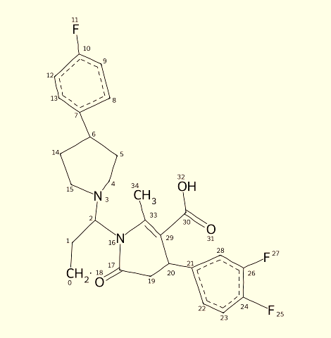 [CH2]CC(N1CCC(c2ccc(F)cc2)CC1)N1C(=O)CC(c2ccc(F)c(F)c2)C(C(=O)O)=C1C